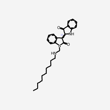 CCCCCCCCCCNCN1C(=O)/C(=C2\Nc3ccccc3C2=O)c2ccccc21